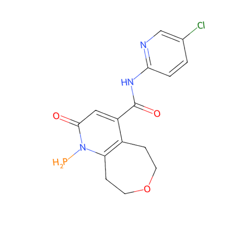 O=C(Nc1ccc(Cl)cn1)c1cc(=O)n(P)c2c1CCOCC2